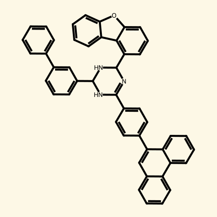 c1ccc(-c2cccc(C3NC(c4ccc(-c5cc6ccccc6c6ccccc56)cc4)=NC(c4cccc5oc6ccccc6c45)N3)c2)cc1